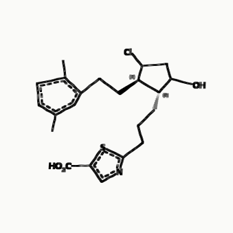 Cc1ccc(C)c(CC[C@H]2C(Cl)CC(O)[C@@H]2CCCc2ncc(C(=O)O)s2)c1